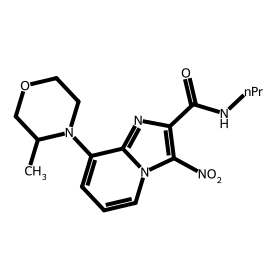 CCCNC(=O)c1nc2c(N3CCOCC3C)cccn2c1[N+](=O)[O-]